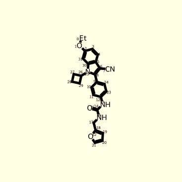 CCOc1ccc2c(C#N)c(-c3ccc(NC(=O)NCc4ccco4)cc3)n(C3CCC3)c2c1